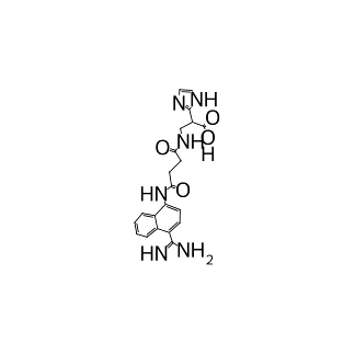 N=C(N)c1ccc(NC(=O)CCC(=O)NCC(C(=O)O)c2ncc[nH]2)c2ccccc12